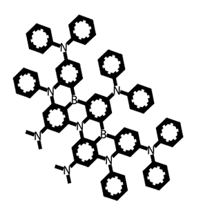 CN(C)c1cc2c3c(c1)N1c4cc(N(C)C)cc5c4B(c4ccc(N(c6ccccc6)c6ccccc6)cc4N5c4ccccc4)c4cc(N(c5ccccc5)c5ccccc5)cc(c41)B3c1ccc(N(c3ccccc3)c3ccccc3)cc1N2c1ccccc1